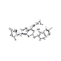 Cc1cc2c(F)c(Oc3cc(NC4CC4)n4ncc(/C=C5\NC(=O)NC5=O)c4n3)ccc2[nH]1